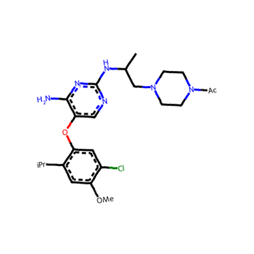 COc1cc(C(C)C)c(Oc2cnc(NC(C)CN3CCN(C(C)=O)CC3)nc2N)cc1Cl